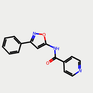 O=C(Nc1cc(-c2ccccc2)no1)c1ccncc1